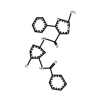 Cc1ncc(C(=O)Nc2ccc(Cl)c(NC(=O)c3ccccc3)c2)c(-c2ccccc2)n1